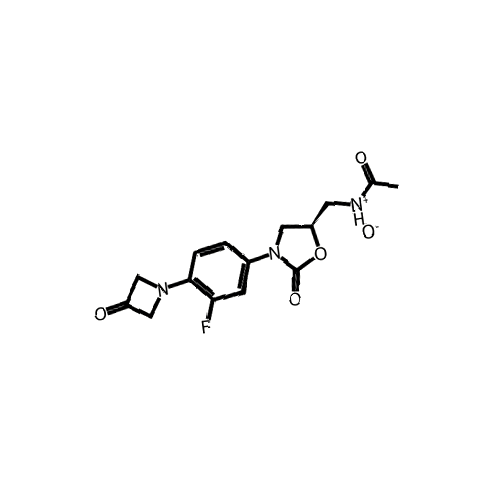 CC(=O)[NH+]([O-])C[C@@H]1CN(c2ccc(N3CC(=O)C3)c(F)c2)C(=O)O1